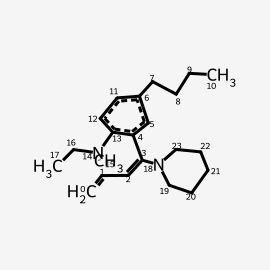 C=C/C=C(\c1cc(CCCC)ccc1N(C)CC)N1CCCCC1